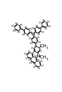 CC1C=C(N(C)c2c3ccccc3cc3ccccc23)C=CC1c1ccc(N(c2ccc(-c3ccccc3)cc2)c2ccc(-c3ccccc3)cc2)cc1